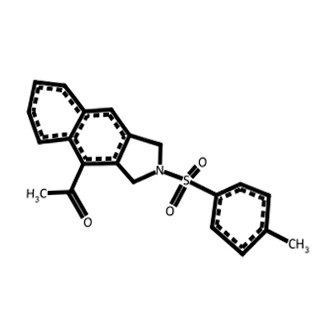 CC(=O)c1c2c(cc3ccccc13)CN(S(=O)(=O)c1ccc(C)cc1)C2